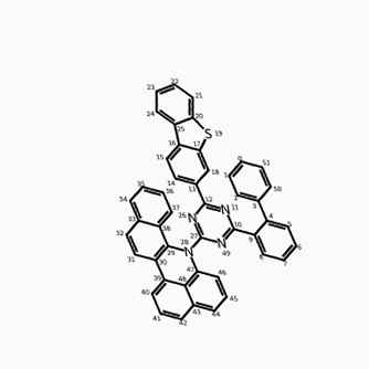 c1ccc(-c2ccccc2-c2nc(-c3ccc4c(c3)sc3ccccc34)nc(N3c4c(ccc5ccccc45)-c4cccc5cccc3c45)n2)cc1